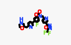 O=c1oc2cc(-c3ccc(CC4CNCCO4)nc3)c(F)cc2n1Cc1ccc(-c2nnc(C(F)F)o2)cn1